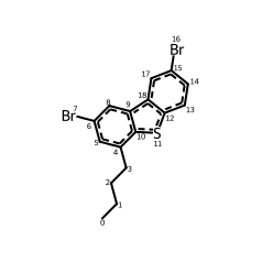 CCCCc1cc(Br)cc2c1sc1ccc(Br)cc12